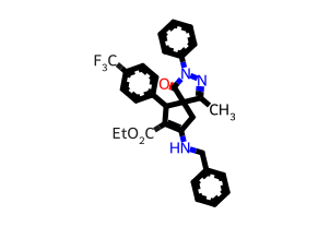 CCOC(=O)C1=C(NCc2ccccc2)CC2(C(=O)N(c3ccccc3)N=C2C)C1c1ccc(C(F)(F)F)cc1